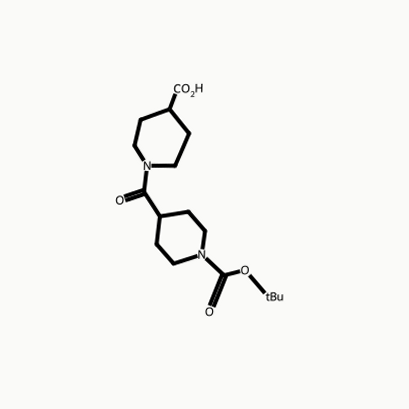 CC(C)(C)OC(=O)N1CCC(C(=O)N2CCC(C(=O)O)CC2)CC1